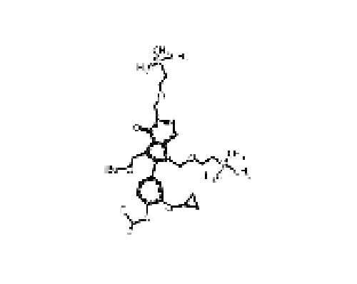 CCC(C)OCc1c(-c2ccc(OC(F)F)c(OC3CC3)c2)n(COCC[Si](C)(C)C)c2cnn(COCC[Si](C)(C)C)c(=O)c12